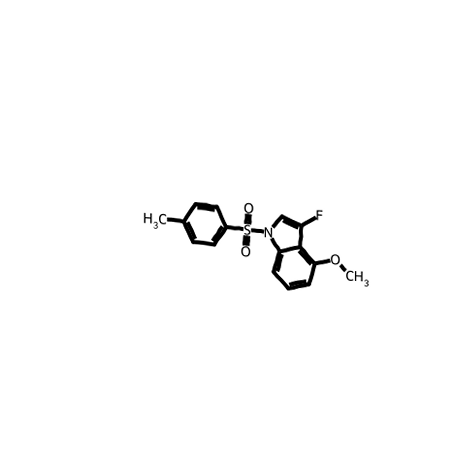 COc1cccc2c1c(F)cn2S(=O)(=O)c1ccc(C)cc1